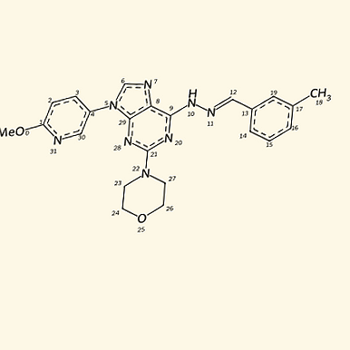 COc1ccc(-n2cnc3c(N/N=C/c4cccc(C)c4)nc(N4CCOCC4)nc32)cn1